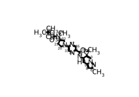 COc1cn2nc(C)cc2cc1NC(=O)c1cnc(N2CC[C@@H](N(C)C(=O)OC(C)(C)C)C2)cn1